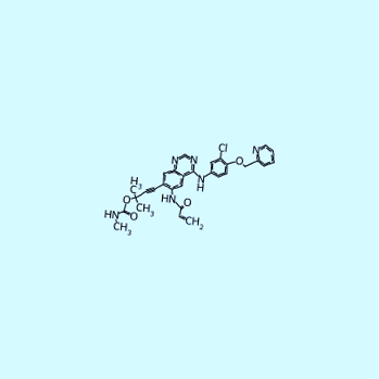 C=CC(=O)Nc1cc2c(Nc3ccc(OCc4ccccn4)c(Cl)c3)ncnc2cc1C#CC(C)(C)OC(=O)NC